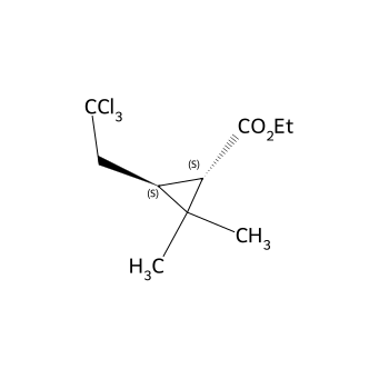 CCOC(=O)[C@H]1[C@H](CC(Cl)(Cl)Cl)C1(C)C